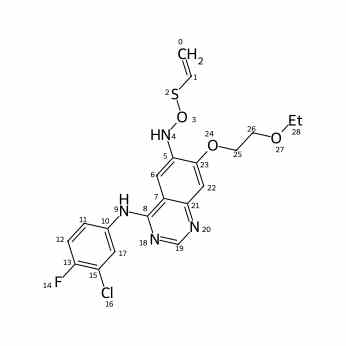 C=CSONc1cc2c(Nc3ccc(F)c(Cl)c3)ncnc2cc1OCCOCC